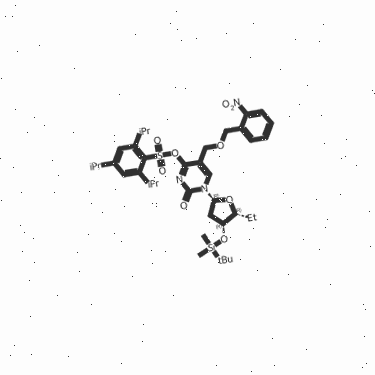 CC[C@H]1O[C@@H](n2cc(COCc3ccccc3[N+](=O)[O-])c(OS(=O)(=O)c3c(C(C)C)cc(C(C)C)cc3C(C)C)nc2=O)C[C@H]1O[Si](C)(C)C(C)(C)C